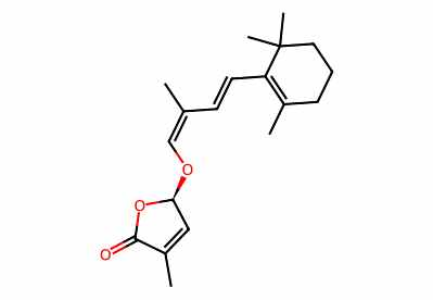 CC1=C[C@H](O/C=C(C)\C=C\C2=C(C)CCCC2(C)C)OC1=O